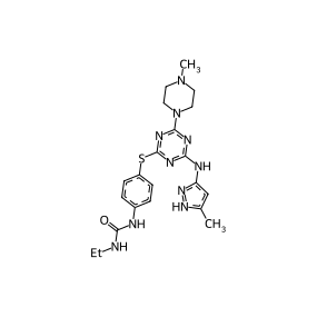 CCNC(=O)Nc1ccc(Sc2nc(Nc3cc(C)[nH]n3)nc(N3CCN(C)CC3)n2)cc1